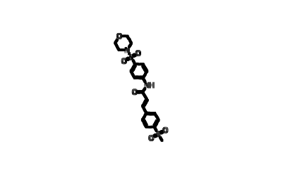 CS(=O)(=O)c1ccc(C=CC(=O)Nc2ccc(S(=O)(=O)N3CCOCC3)cc2)cc1